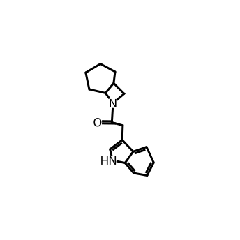 O=C(Cc1c[nH]c2ccccc12)N1CC2CCCCC21